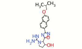 CC(C)COc1ccc2cc(-c3noc(C4[C@@H](O)CCN4C(=N)N)n3)ccc2c1